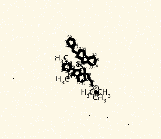 Cc1ccc2c(c1)c1c(n2C)-c2ccccc2C1S(C)(CCCCCCOC(C)(C)C)C1c2ccccc2-c2ccc(Cc3ccccc3)cc21